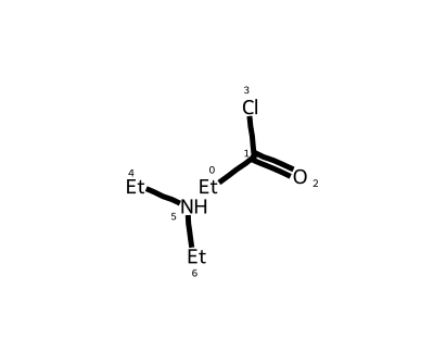 CCC(=O)Cl.CCNCC